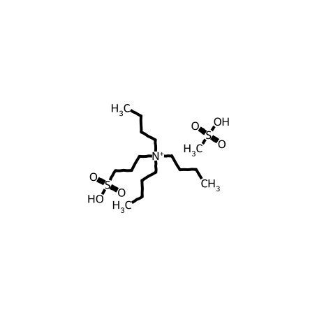 CCCC[N+](CCCC)(CCCC)CCCS(=O)(=O)O.CS(=O)(=O)O